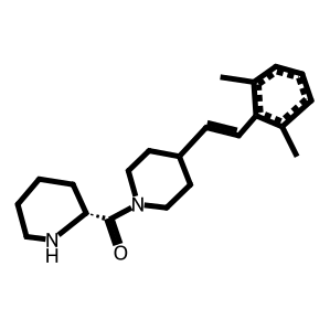 Cc1cccc(C)c1/C=C/C1CCN(C(=O)[C@H]2CCCCN2)CC1